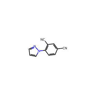 N#Cc1ccc(-n2cc[c]n2)c(C#N)c1